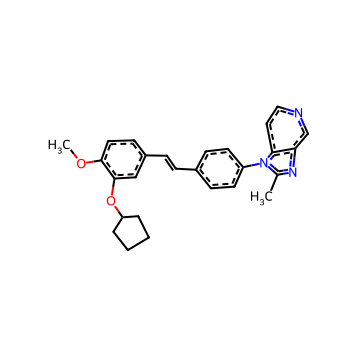 COc1ccc(C=Cc2ccc(-n3c(C)nc4cnccc43)cc2)cc1OC1CCCC1